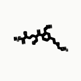 CCO/C=C/c1ccc(NC(C=O)CCC(=O)NC)c(C=N)c1